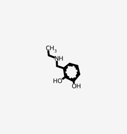 CCNCc1cccc(O)c1O